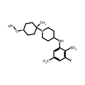 CCCO[C@H]1CC[C@](C)(N2CCC(Nc3cc(C)cc(F)c3[N+](=O)[O-])CC2)CC1